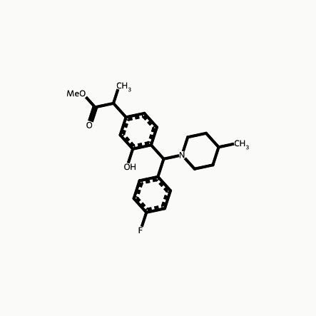 COC(=O)C(C)c1ccc(C(c2ccc(F)cc2)N2CCC(C)CC2)c(O)c1